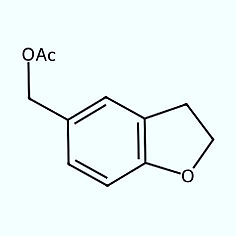 CC(=O)OCc1ccc2c(c1)CCO2